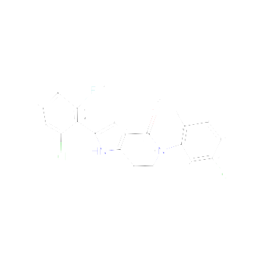 Cc1ccc(Cl)cc1N1CCc2[nH]c(-c3c(F)cccc3Cl)cc2C1=O